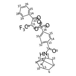 O=C(NC12CC3CC(CC(C3)C1)C2)c1ccc(S(=O)(=O)OC(C(=O)c2ccccc2)C(F)(F)F)cc1